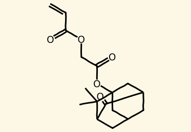 C=CC(=O)OCC(=O)OC12CC3CC(C1)C(=O)C(C3)C2(C)C